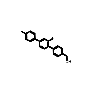 Cc1ccc(-c2ccc(-c3ccc(CO)cc3)c(F)c2)cc1